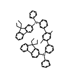 CCC1(CC)c2ccccc2-c2ccc(N(c3ccccc3)c3cccc(-c4cc(C)c(-c5cccc(N(c6ccccc6)c6ccc7c(c6)C(CC)(CC)c6ccccc6-7)c5)cc4C)c3)cc21